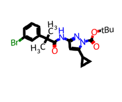 CC(C)(C)OC(=O)n1nc(NC(=O)C(C)(C)c2cccc(Br)c2)cc1C1CC1